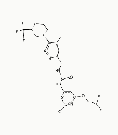 Cc1cc(CNC(=O)Nc2cc(Cl)nc(OCC(F)F)c2)nnc1N1CCO[C@H](C(F)(F)F)C1